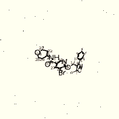 Cc1onc(-c2ccccc2)c1COc1ncc(C(=O)NC2CCOCC2)cc1Br